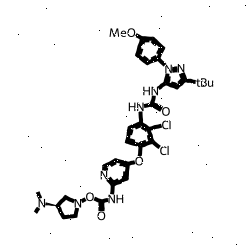 COc1ccc(-n2nc(C(C)(C)C)cc2NC(=O)Nc2ccc(Oc3ccnc(NC(=O)ON4CC[C@@H](N(C)C)C4)c3)c(Cl)c2Cl)cc1